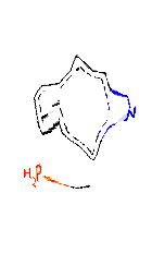 CP.c1ccncc1